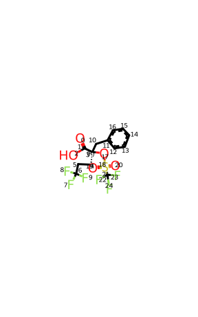 O=C(O)[C@@](CCC(F)(F)F)(Cc1ccccc1)OS(=O)(=O)C(F)(F)F